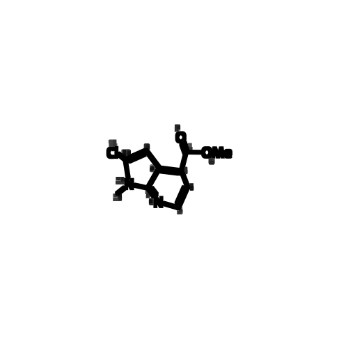 COC(=O)c1ccnc2c1cc(Cl)n2C